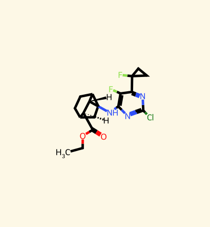 CCOC(=O)[C@H]1C2CCC(CC2)[C@@H]1Nc1nc(Cl)nc(C2(F)CC2)c1F